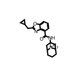 CN1C2CCCC1CC(NC(=O)c1cccc3oc(CC4CC4)nc13)C2